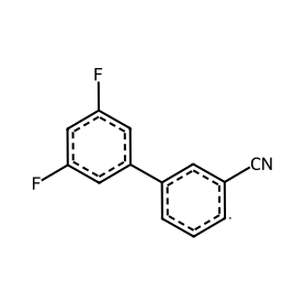 N#Cc1[c]ccc(-c2cc(F)cc(F)c2)c1